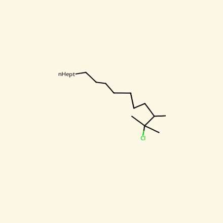 CCCCCCCCCCCCCCC(C)C(C)(C)Cl